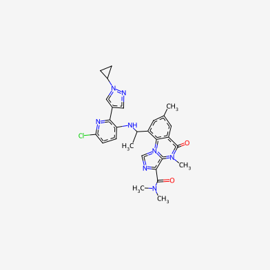 Cc1cc(C(C)Nc2ccc(Cl)nc2-c2cnn(C3CC3)c2)c2c(c1)c(=O)n(C)c1c(C(=O)N(C)C)ncn21